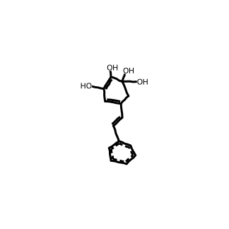 OC1=C(O)C(O)(O)CC(/C=C/c2ccccc2)=C1